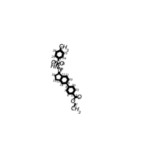 CCOC(=O)c1ccc(-c2ccc3c(c2)CCC3=NNS(=O)(=O)c2ccc(C)cc2)cc1